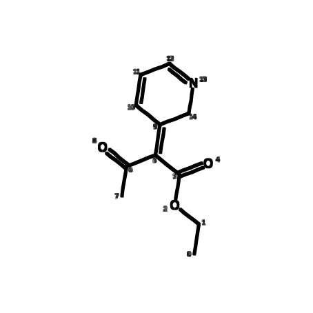 CCOC(=O)C(C(C)=O)=C1C=CC=NC1